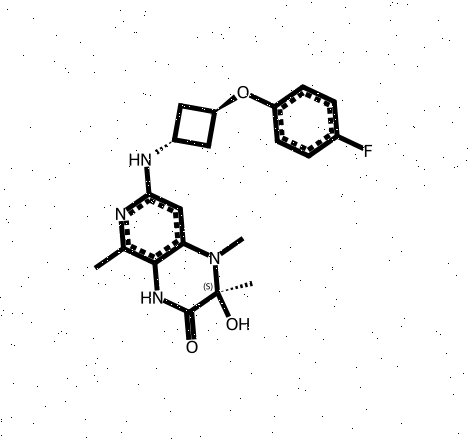 Cc1nc(N[C@H]2C[C@H](Oc3ccc(F)cc3)C2)cc2c1NC(=O)[C@](C)(O)N2C